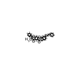 CN(Cc1ccccc1)C(=O)c1cc(C(=O)N2Cc3ccc(OCCN4CCCCC4)cc3C2)c(O)cc1O